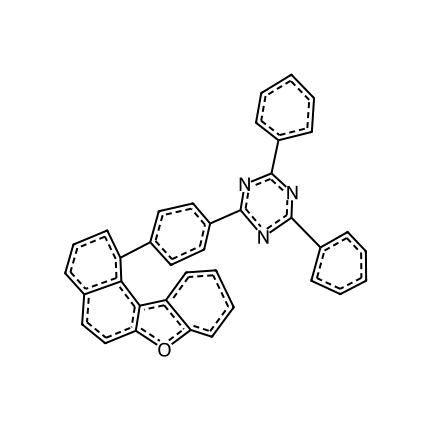 c1ccc(-c2nc(-c3ccccc3)nc(-c3ccc(-c4cccc5ccc6oc7ccccc7c6c45)cc3)n2)cc1